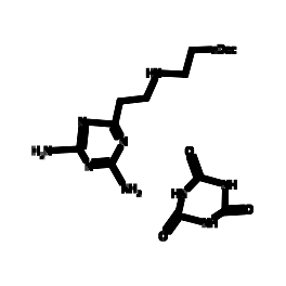 CCCCCCCCCCCCNCCc1nc(N)nc(N)n1.O=c1[nH]c(=O)[nH]c(=O)[nH]1